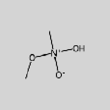 CO[N+](C)([O-])O